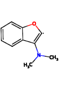 CN(C)c1[c]oc2ccccc12